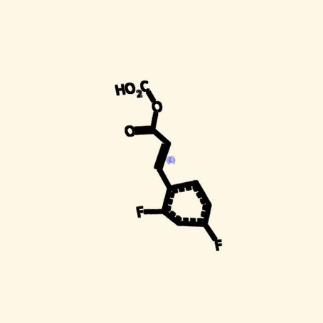 O=C(O)OC(=O)/C=C/c1ccc(F)cc1F